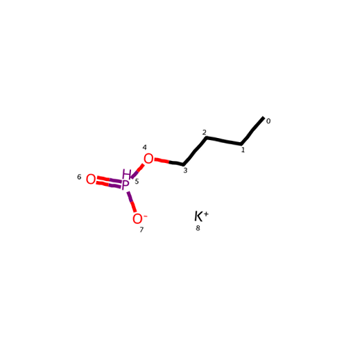 CCCCO[PH](=O)[O-].[K+]